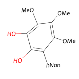 CCCCCCCCCc1c(O)c(O)c(OC)c(OC)c1OC